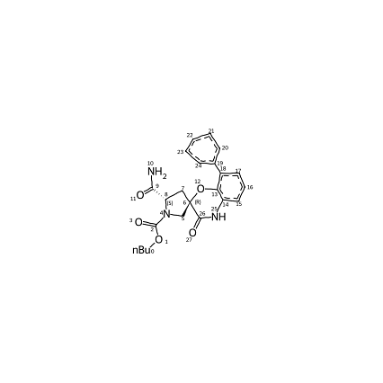 CCCCOC(=O)N1C[C@@]2(C[C@H]1C(N)=O)Oc1c(cccc1-c1ccccc1)NC2=O